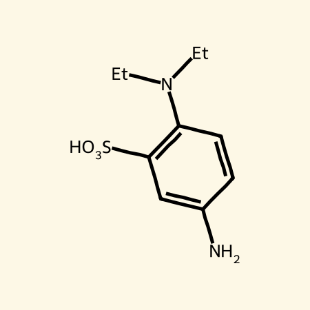 CCN(CC)c1ccc(N)cc1S(=O)(=O)O